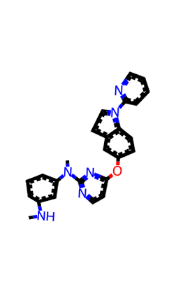 CNc1cccc(N(C)c2nccc(Oc3ccc4c(ccn4-c4ccccn4)c3)n2)c1